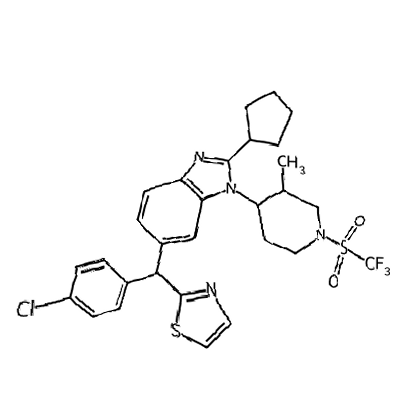 CC1CN(S(=O)(=O)C(F)(F)F)CCC1n1c(C2CCCC2)nc2ccc(C(c3ccc(Cl)cc3)c3nccs3)cc21